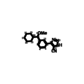 COC(c1cccc(-c2nn[nH]c2C#N)c1)C1CCCCC1